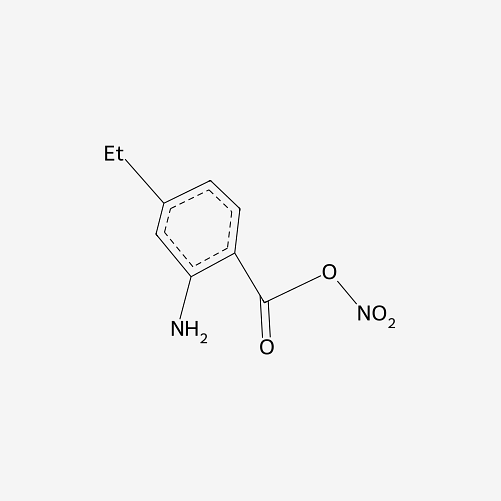 CCc1ccc(C(=O)O[N+](=O)[O-])c(N)c1